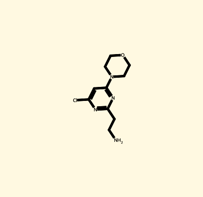 NCCc1nc(Cl)cc(N2CCOCC2)n1